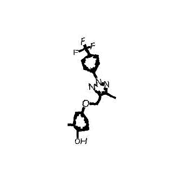 Cc1cc(OCc2nn(-c3ccc(C(F)(F)F)cc3)nc2C)ccc1O